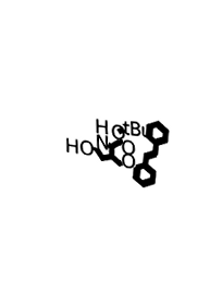 CC(C)(C)OC(=O)C1N[C@H](O)CC1COc1ccccc1C=Cc1ccccc1